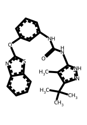 Cc1c(C(C)(C)C)n[nH]c1NC(=O)Nc1cccc(Oc2nc3ccccc3s2)c1